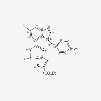 CCOC(=O)c1ccc(C(C)NC(=O)c2cc(C)cc3ccn(Cc4ccc(Cl)cc4)c23)s1